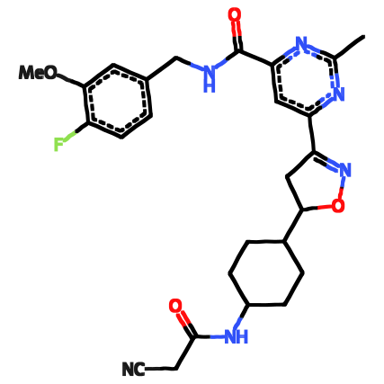 COc1cc(CNC(=O)c2cc(C3=NOC(C4CCC(NC(=O)CC#N)CC4)C3)nc(C)n2)ccc1F